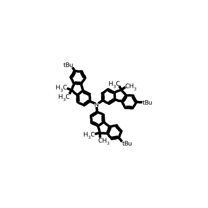 CC(C)(C)c1ccc2c(c1)C(C)(C)c1ccc(N(c3ccc4c(c3)-c3ccc(C(C)(C)C)cc3C4(C)C)c3ccc4c(c3)-c3ccc(C(C)(C)C)cc3C4(C)C)cc1-2